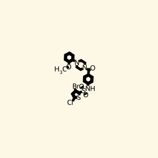 COc1ccccc1N1CCN(C(=O)c2ccc(NS(=O)(=O)c3sc(Cl)cc3Br)cc2)CC1